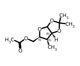 CC(=O)OC[C@H]1OC2OC(C)(C)O[C@@H]2[C@H]1C